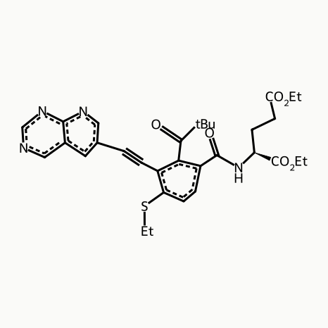 CCOC(=O)CC[C@H](NC(=O)c1ccc(SCC)c(C#Cc2cnc3ncncc3c2)c1C(=O)C(C)(C)C)C(=O)OCC